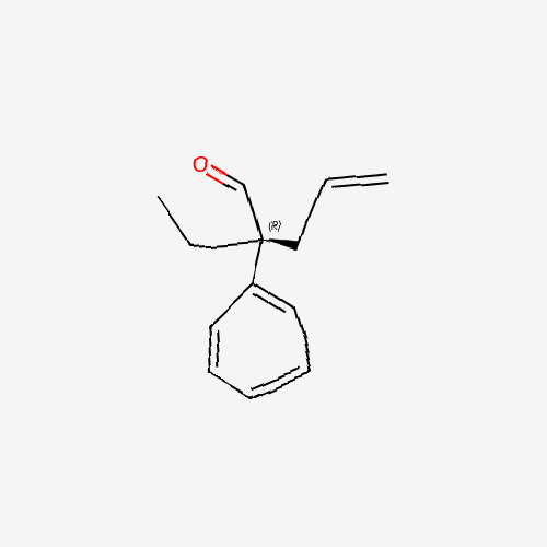 C=CC[C@](C=O)(CC)c1ccccc1